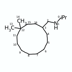 CC(C)NCC1CCCCCCCCC(C)(C)CC1